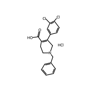 Cl.O=C(O)C1=C(c2ccc(Cl)c(Cl)c2)CN(Cc2ccccc2)CC1